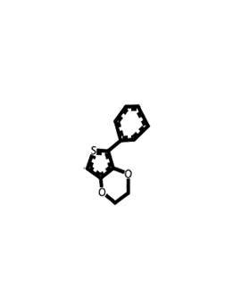 [c]1sc(-c2ccccc2)c2c1OCCO2